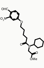 COC(=O)CN(C(=O)CCCCOc1ccc(C=O)c([N+](=O)[O-])c1)C1CCCCC1